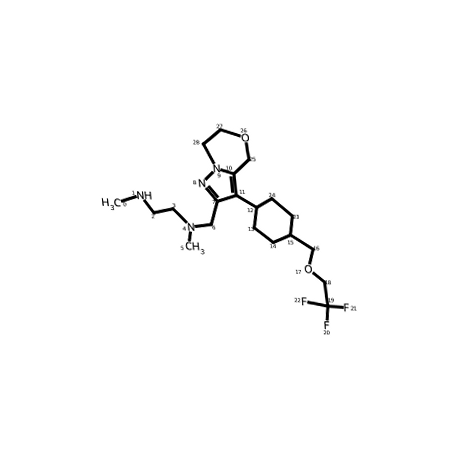 CNCCN(C)Cc1nn2c(c1C1CCC(COCC(F)(F)F)CC1)COCC2